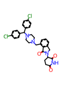 O=C1CCC(N2Cc3cccc(CN4CCN(C(c5ccc(Cl)cc5)c5ccc(Cl)cc5)CC4)c3C2=O)C(=O)N1